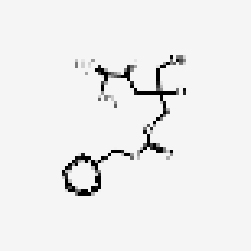 C=C(C)C(=O)CC(CC)(CO)COC(=O)OCc1ccccc1